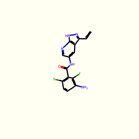 C=Cc1n[nH]c2ncc(NC(=O)c3c(F)ccc(N)c3F)cc12